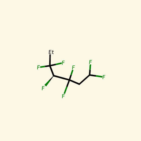 [CH2]CC(F)(F)[C@H](F)C(F)(F)CC(F)F